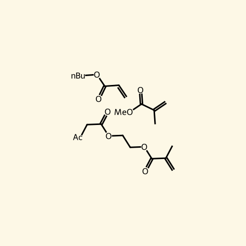 C=C(C)C(=O)OC.C=C(C)C(=O)OCCOC(=O)CC(C)=O.C=CC(=O)OCCCC